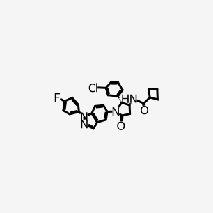 O=C(N[C@H]1CC(=O)N(c2ccc3c(cnn3-c3ccc(F)cc3)c2)[C@@H]1c1cccc(Cl)c1)C1CCC1